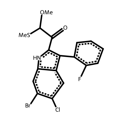 COC(SC)C(=O)c1[nH]c2cc(Br)c(Cl)cc2c1-c1ccccc1F